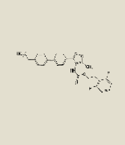 Cc1onc(-c2ccc(-c3ccc(CC(=O)O)cc3)cc2)c1NC(=O)OCCc1c(F)cccc1F